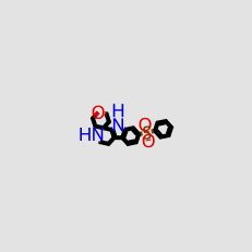 O=S(=O)(c1ccccc1)c1ccc2c3c([nH]c2c1)C1(CCOCC1)NCC3